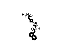 NC(=O)CC1CC(n2cnc(NC(=O)Cc3cccc4ccccc34)c2)C1